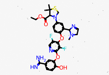 CCOC(=O)C1N(c2ccc(Oc3c(F)cnc(Oc4cc(C(=N)N)ccc4O)c3F)c(C3N=CCN3C)c2)CSC1(C)C